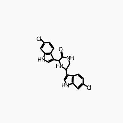 O=C1NCC(c2c[nH]c3cc(Cl)ccc23)NC1c1c[nH]c2cc(Cl)ccc12